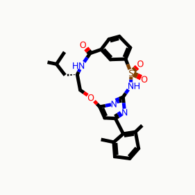 Cc1cccc(C)c1-c1cc2nc(n1)NS(=O)(=O)c1cccc(c1)C(=O)N[C@@H](CC(C)C)CO2